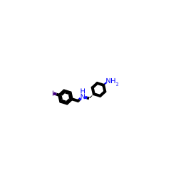 N[C@H]1CC[C@H](CNCc2ccc(I)cc2)CC1